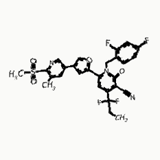 CCC(F)(F)c1cc(-c2cc(-c3cnc(S(C)(=O)=O)c(C)c3)co2)n(Cc2ccc(F)cc2F)c(=O)c1C#N